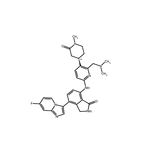 CN(C)Cc1nc(Nc2ccc(-c3cnc4cc(F)ccn34)c3c2C(=O)NC3)ccc1[C@@H]1CCN(C)C(=O)C1